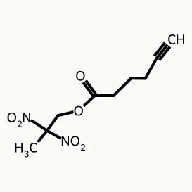 C#CCCCC(=O)OCC(C)([N+](=O)[O-])[N+](=O)[O-]